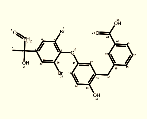 CC(O)([PH2]=O)c1cc(Br)c(Oc2ccc(O)c(Cc3cccc(C(=O)O)c3)c2)c(Br)c1